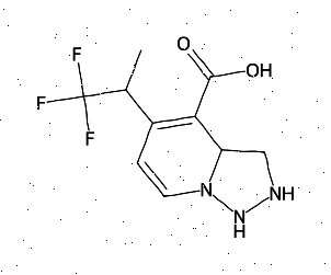 CC(C1=C(C(=O)O)C2CNNN2C=C1)C(F)(F)F